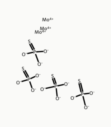 [Mo+4].[Mo+4].[Mo+4].[O-]P([O-])([O-])=S.[O-]P([O-])([O-])=S.[O-]P([O-])([O-])=S.[O-]P([O-])([O-])=S